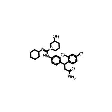 NC(=O)CC(c1ccc(N/C(=N\C2CCCCC2)N2CCCC(O)C2)cc1)c1ccc(Cl)cc1Cl